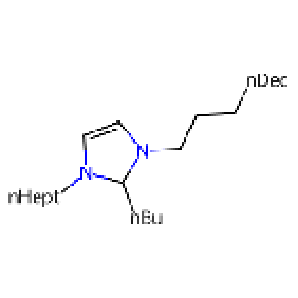 CCCCCCCCCCCCCN1C=CN(CCCCCCC)C1CCCC